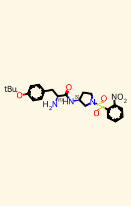 CC(C)(C)Oc1ccc(C[C@H](N)C(=O)N[C@H]2CCN(S(=O)(=O)c3ccccc3[N+](=O)[O-])C2)cc1